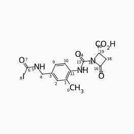 Cc1cc(CNC(=O)I)ccc1NC(=O)N1C(=O)C[C@H]1C(=O)O